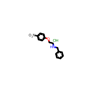 Cl.O=[N+]([O-])c1ccc(OCCNCc2ccccc2)cc1